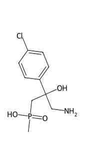 CP(=O)(O)CC(O)(CN)c1ccc(Cl)cc1